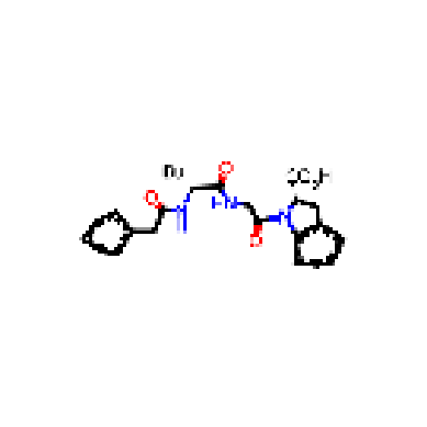 CC[C@H](C)[C@H](NC(=O)Cc1ccccc1)C(=O)NCC(=O)N1c2ccccc2C[C@H]1C(=O)O